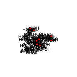 CC(=O)NC1C(O)[C@H](O[C@@H]2OC(CO[C@]3(OC=O)C[C@@H](O)[C@@H](C)C(CO)(C(O)CO)O3)[C@H](O)[C@H](O)C2O)[C@H](CO)O[C@H]1OC1[C@@H](OCC2O[C@@H](O[C@@H]3C(CO)O[C@@H](O[C@@H]4C(CO)O[C@@H](C(C)C)C(NC(C)=O)[C@H]4O)C(NC(C)=O)[C@H]3O)C(O)[C@@H](O[C@H]3OC(CO)[C@@H](O)C(O)C3O[C@@H]3OC(CO)[C@@H](O[C@@H]4OC(CO[C@]5(OC=O)C[C@@H](O)[C@@H](C)C(CO)(C(O)CO)O5)[C@H](O)[C@H](O)C4O)[C@H](O)C3NC(C)=O)[C@@H]2O)OC(CO)[C@@H](O)[C@@H]1O